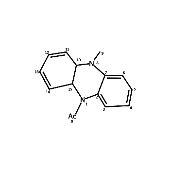 CC(=O)N1c2ccccc2N(C)C2C=CC=CC21